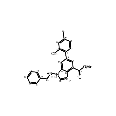 COC(=O)c1cc(-c2ccc(C)cc2Cl)cc2c1ncn2NCc1ccccc1